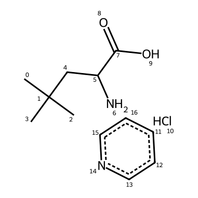 CC(C)(C)CC(N)C(=O)O.Cl.c1ccncc1